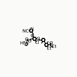 CCN(CC)C(=O)c1cccc(-c2cccc(COc3cc(OCc4cncc(C#N)c4)c(COC(=O)[C@@H]4CCCN4)cc3Cl)c2C)c1C